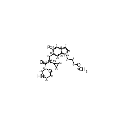 COCCCn1ccc2cc(F)c(CN(C(=O)[C@H]3CNCCO3)C3CC3)cc21